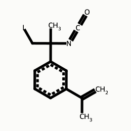 C=C(C)c1cccc(C(C)(CI)N=C=O)c1